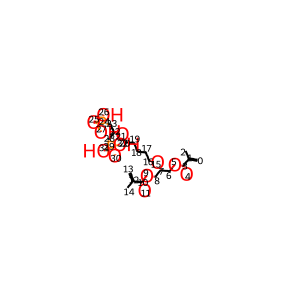 C=C(C)C(=O)OCC(COC(=O)C(=C)C)OCCCCCOC(CP(=O)(O)O)CP(=O)(O)O